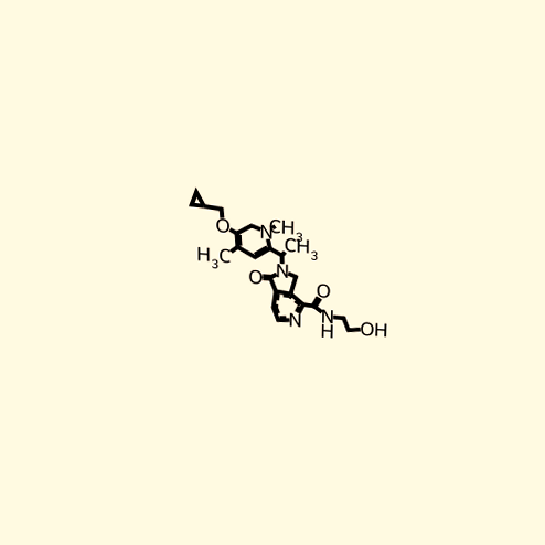 CC1=C(OCC2CC2)CN(C)C(C(C)N2Cc3c(ccnc3C(=O)NCCO)C2=O)=C1